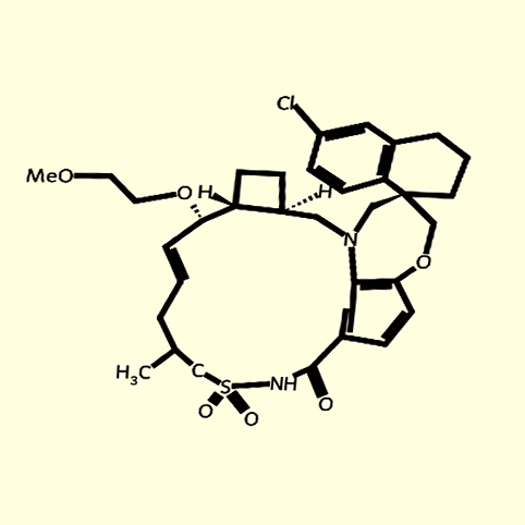 COCCO[C@H]1/C=C/CC(C)CS(=O)(=O)NC(=O)c2ccc3c(c2)N(C[C@@H]2CC[C@H]21)C[C@@]1(CCCc2cc(Cl)ccc21)CO3